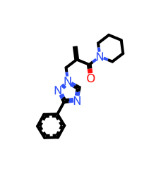 C=C(Cn1cnc(-c2ccccc2)n1)C(=O)N1CCCCC1